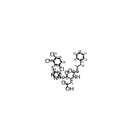 O=C(O)CC(NC(=O)SCCc1ccccc1)C(=O)Cn1nnc(Sc2c(Cl)ccc(Cl)c2Cl)n1